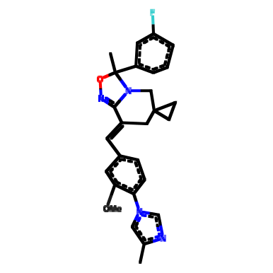 COc1cc(/C=C2\CC3(CC3)CN3C2=NOC3(C)c2cccc(F)c2)ccc1-n1cnc(C)c1